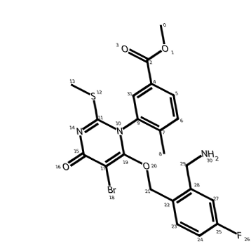 COC(=O)c1ccc(C)c(-n2c(SC)nc(=O)c(Br)c2OCc2ccc(F)cc2CN)c1